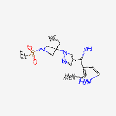 CCS(=O)(=O)N1CC(CC#N)(n2cc(C(=N)c3cc[nH]c3NC)cn2)C1